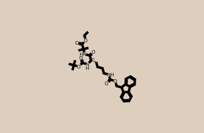 CCOC(=O)C(C)(C)NC(=O)[C@H](CCCCNC(=O)OCC1c2ccccc2-c2ccccc21)NC(=O)OC(C)(C)C